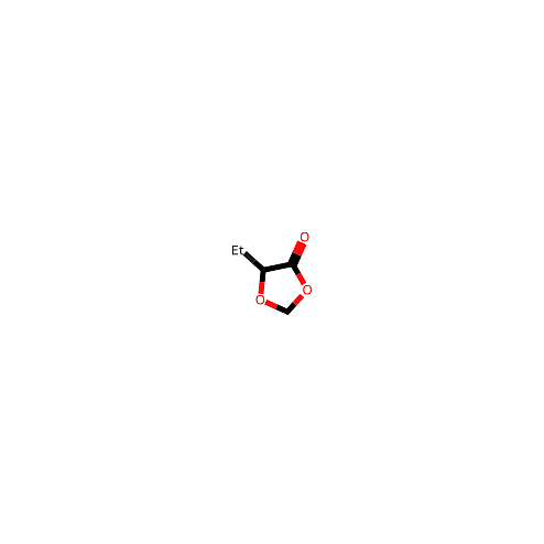 CCC1OCOC1=O